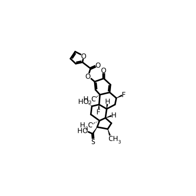 C[C@@H]1C[C@H]2[C@H]3C[C@H](F)C4=CC(=O)C(OC(=O)c5ccco5)=C[C@]4(C)[C@@]3(F)[C@@H](O)C[C@]2(C)[C@@H]1C(O)=S